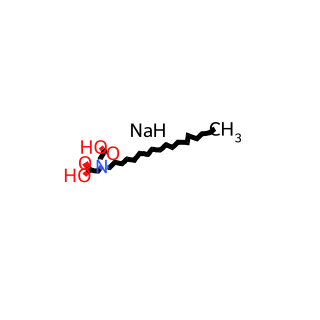 CCCCCCCCCCCCCCCCCCN(CC(=O)O)CC(=O)O.[NaH]